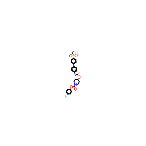 CS(=O)(=O)c1ccc(-c2ccc3nc(OC4CCN(C(=O)Oc5ccc(F)cc5)CC4)sc3c2)cc1